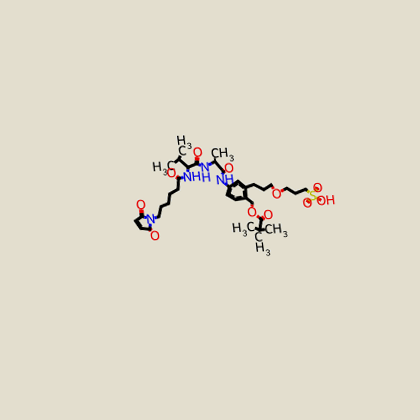 CC(C)C(NC(=O)CCCCCN1C(=O)C=CC1=O)C(=O)N[C@@H](C)C(=O)Nc1ccc(COC(=O)C(C)(C)C)c(CCCOCCCS(=O)(=O)O)c1